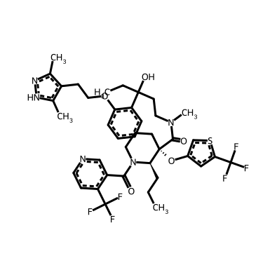 CCC[C@H]1N(C(=O)c2cnccc2C(F)(F)F)CCC[C@@]1(Oc1csc(C(F)(F)F)c1)C(=O)N(C)CCC(O)(CC)c1ccccc1OCCc1c(C)n[nH]c1C